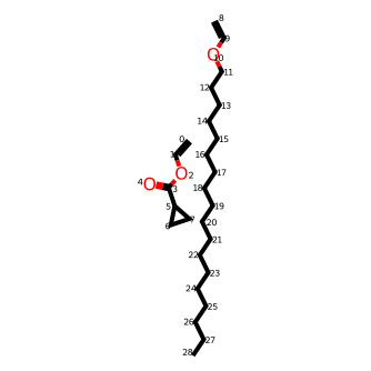 C=COC(=O)C1CC1.C=COCCCCCCCCCCCCCCCCCC